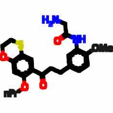 CCCOc1cc2c(cc1C(=O)CCc1ccc(OC)c(NC(=O)CN)c1)SCCO2